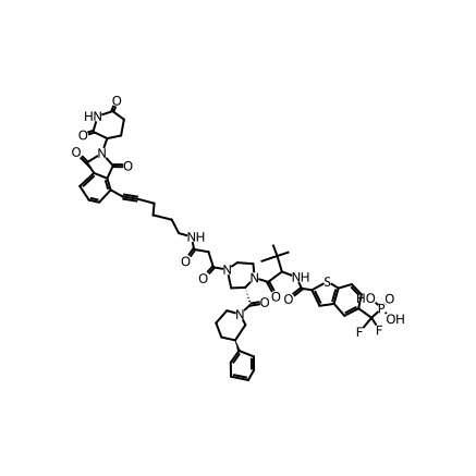 CC(C)(C)C(NC(=O)c1cc2cc(C(F)(F)P(=O)(O)O)ccc2s1)C(=O)N1CCN(C(=O)CC(=O)NCCCCC#Cc2cccc3c2C(=O)N(C2CCC(=O)NC2=O)C3=O)C[C@H]1C(=O)N1CCC[C@H](c2ccccc2)C1